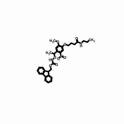 CCCNC(=O)CCCOc1cc([N+](=O)[O-])c(C(C)ONC(=O)OCC2c3ccccc3-c3ccccc32)cc1OC